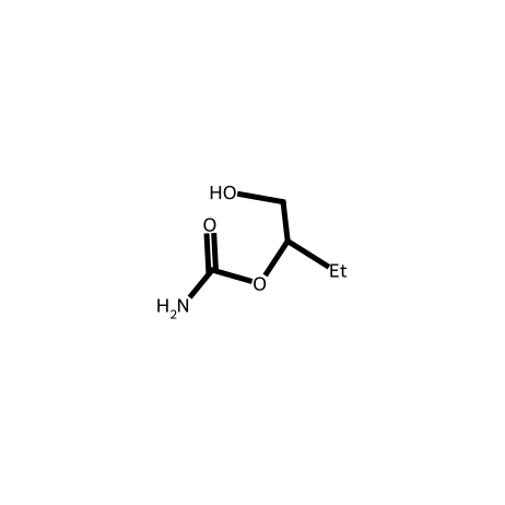 CCC(CO)OC(N)=O